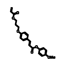 C=CC(=O)OCCCOc1ccc(C=CC(=O)Oc2ccc(OC)cc2)cc1